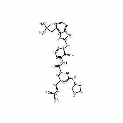 CC(C)(C)Cc1cccc2[nH]c(Cn3cccc(NC(=O)[C@H](CC/C=C/C(N)=O)NC(=O)OC4CCOC4)c3=O)nc12